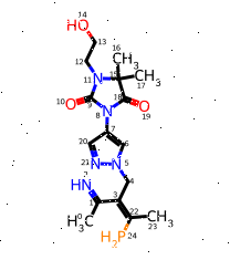 CC(=N)/C(Cn1cc(N2C(=O)N(CCO)C(C)(C)C2=O)cn1)=C(/C)P